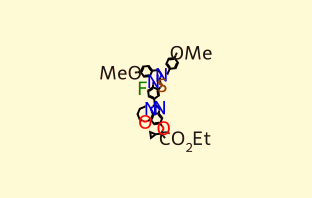 CCOC(=O)C(Oc1cc2c3c(c1)nc(-c1cc(F)c4nc(N(Cc5ccc(OC)cc5)Cc5ccc(OC)cc5)sc4c1)n3CCCCO2)C1CC1